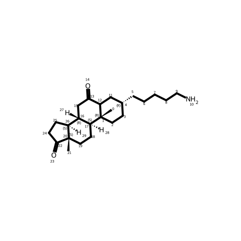 C[C@]12CC[C@@H](CCCCCN)CC1C(=O)C[C@@H]1[C@@H]2CC[C@]2(C)C(=O)CC[C@@H]12